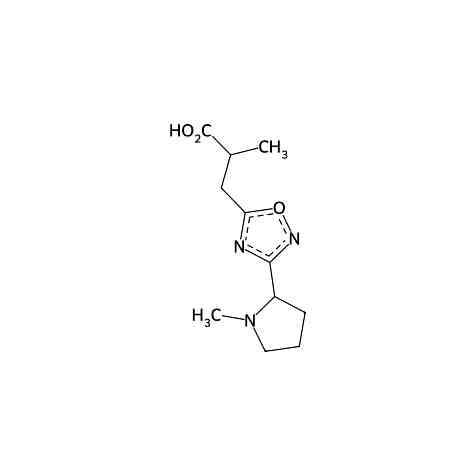 CC(Cc1nc(C2CCCN2C)no1)C(=O)O